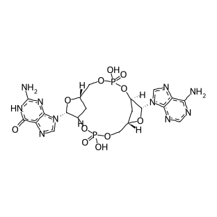 Nc1nc2c(ncn2[C@@H]2O[C@@H]3COP(=O)(O)O[C@@H]4C[C@@H](COP(=O)(O)O[C@@H]2C3)O[C@H]4n2cnc3c(N)ncnc32)c(=O)[nH]1